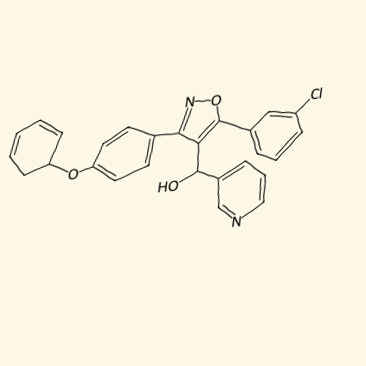 OC(c1cccnc1)c1c(-c2ccc(OC3C=CC=CC3)cc2)noc1-c1cccc(Cl)c1